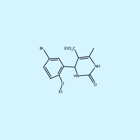 CCOC(=O)C1=C(C)NC(=O)NC1c1cc(Br)ccc1OCC